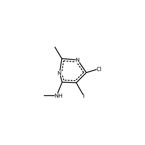 CNc1nc(C)nc(Cl)c1I